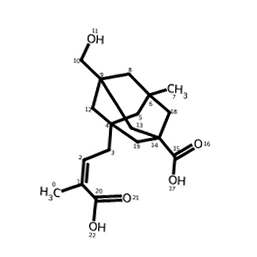 CC(=CCC12CC3(C)CC(CO)(C1)CC(C(=O)O)(C3)C2)C(=O)O